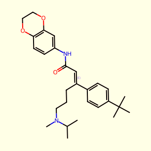 CC(C)N(C)CCC/C(=C\C(=O)Nc1ccc2c(c1)OCCO2)c1ccc(C(C)(C)C)cc1